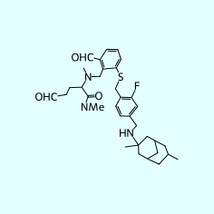 CNC(=O)C(CCC=O)N(C)Cc1c(C=O)cccc1SCc1ccc(CNC2(C)CC3CC(C)CC(C3)C2)cc1F